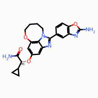 NC(=O)[C@H](Oc1cc2c3c(c1)nc(-c1ccc4oc(N)nc4c1)n3CCCCO2)C1CC1